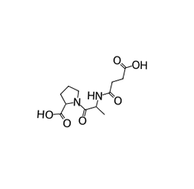 CC(NC(=O)CCC(=O)O)C(=O)N1CCCC1C(=O)O